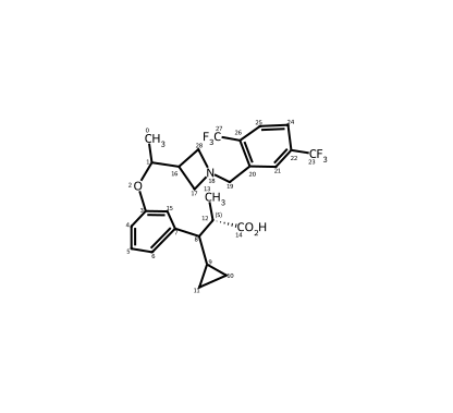 CC(Oc1cccc(C(C2CC2)[C@H](C)C(=O)O)c1)C1CN(Cc2cc(C(F)(F)F)ccc2C(F)(F)F)C1